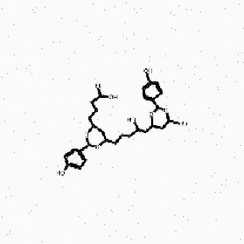 CCCCC1CC(CC(O)CCCC2CC(CCCC(O)CC)OC(c3ccc(O)cc3)O2)OC(c2ccc(O)cc2)O1